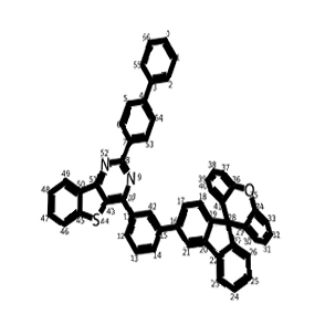 c1ccc(-c2ccc(-c3nc(-c4cccc(-c5ccc6c(c5)-c5ccccc5C65c6ccccc6Oc6ccccc65)c4)c4sc5ccccc5c4n3)cc2)cc1